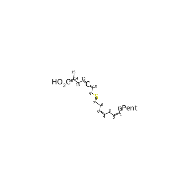 CCCCC/C=C\C/C=C\CCSCC=C=CCC(C)C(=O)O